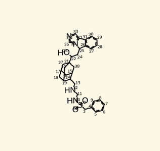 O=S(=O)(Cc1ccccc1)NCNCC1C2CC3CC1CC(C(O)CC1c4ccccc4-c4cncn41)(C3)C2